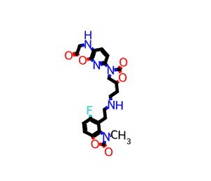 Cn1c(=O)oc2ccc(F)c(CCNCCC3CN(c4ccc5c(n4)OC(=O)CN5)C(=O)O3)c21